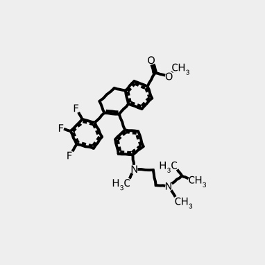 COC(=O)c1ccc2c(c1)CCC(c1ccc(F)c(F)c1F)=C2c1ccc(N(C)CCN(C)C(C)C)cc1